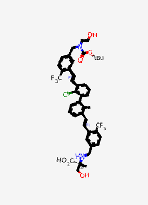 Cc1c(/C=C/c2cc(CN[C@@](C)(CO)C(=O)O)ccc2C(F)(F)F)cccc1-c1cccc(/C=C/c2cc(CN(CCO)C(=O)OC(C)(C)C)ccc2C(F)(F)F)c1Cl